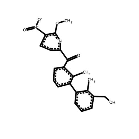 COc1nc(C(=O)c2cccc(-c3cccc(CO)c3C)c2C)ccc1[N+](=O)[O-]